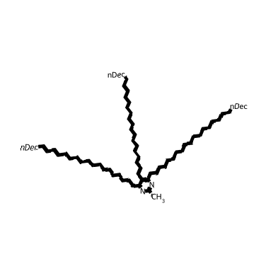 CCCCCCCCCCCCCCCCCCCCCCCCCCCCc1nc(C)nc(CCCCCCCCCCCCCCCCCCCCCCCCCCCC)c1CCCCCCCCCCCCCCCCCCCCCCCCCCCC